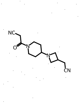 N#CCC(=O)N1CCC(N2CC(CC#N)C2)CC1